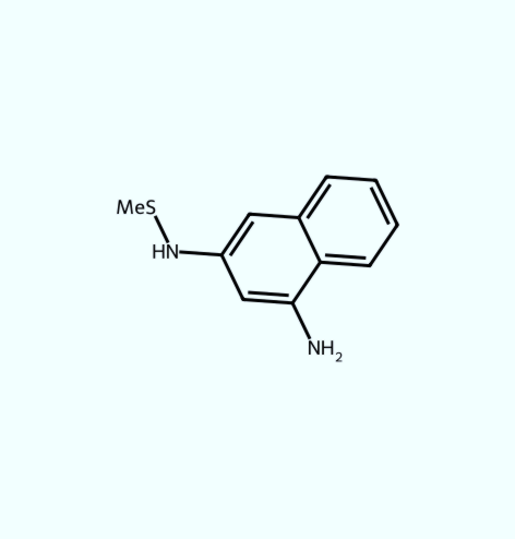 CSNc1cc(N)c2ccccc2c1